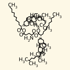 CCCCCCCCCCC(C(=O)OC(=O)CCC(N)C(=O)OC(=O)C(CCCCCCCCCC)[C@H]1CC[C@@]2(C)C(=CC[C@H]3[C@@H]4CC[C@H]([C@H](C)CCCC(C)C)[C@@]4(C)CC[C@@H]32)C1)[C@H]1CC[C@@]2(C)C(=CC[C@H]3[C@@H]4CC[C@H]([C@H](C)CCCC(C)C)[C@@]4(C)CC[C@@H]32)C1